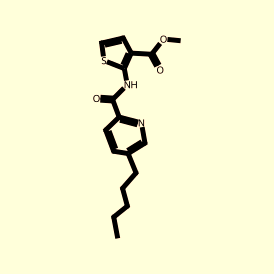 CCCCCc1ccc(C(=O)Nc2sccc2C(=O)OC)nc1